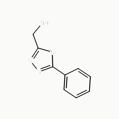 NCc1nnc(-c2ccccc2)[nH]1